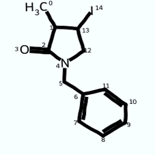 CC1C(=O)N(Cc2ccccc2)CC1I